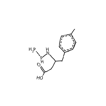 Cc1ccc(CC(CC(=O)O)NPP)cc1